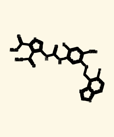 COC(=O)c1scc(NC(=O)Nc2cc(OCc3c(F)ccc4scnc34)c(OC)cc2F)c1C(=O)OC